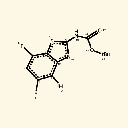 [2H]c1c(F)cc(F)c2sc(NC(=O)OC(C)(C)C)nc12